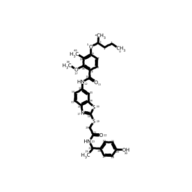 CCCC(C)Oc1ccc(C(=O)Nc2ccc3nc(SCC(=O)NC(C)c4ccc(O)cc4)sc3c2)c(OC)c1C